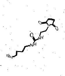 CC(C)(C)CCCCNC(=O)NCCN1C(=O)C=CC1=O